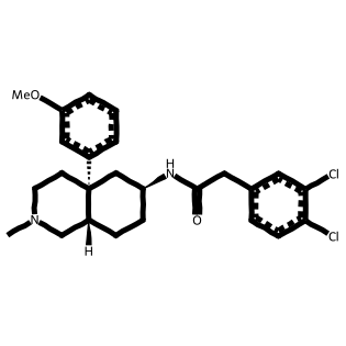 COc1cccc([C@@]23CCN(C)C[C@H]2CC[C@H](NC(=O)Cc2ccc(Cl)c(Cl)c2)C3)c1